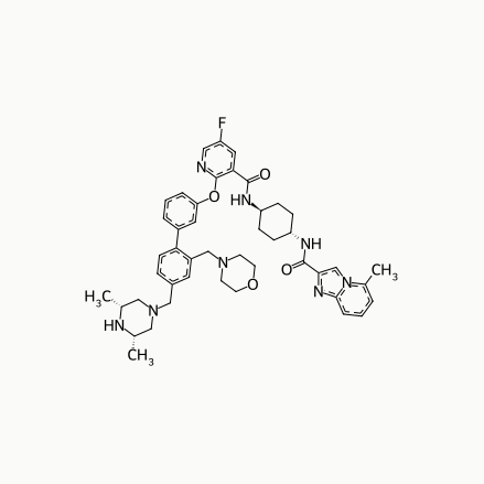 Cc1cccc2nc(C(=O)N[C@H]3CC[C@H](NC(=O)c4cc(F)cnc4Oc4cccc(-c5ccc(CN6C[C@@H](C)N[C@@H](C)C6)cc5CN5CCOCC5)c4)CC3)cn12